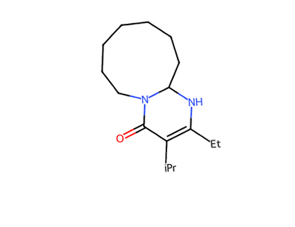 CCC1=C(C(C)C)C(=O)N2CCCCCCCC2N1